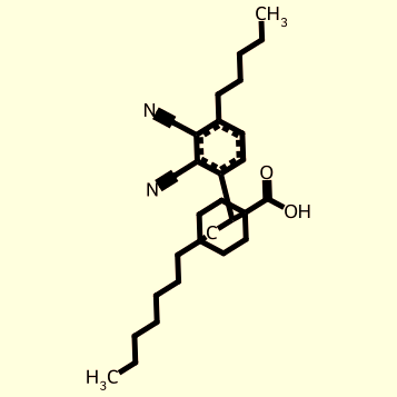 CCCCCCCC12CCC(C(=O)O)(CC1)C(c1ccc(CCCCC)c(C#N)c1C#N)C2